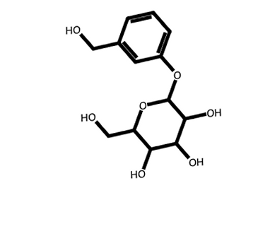 OCc1cccc(OC2OC(CO)C(O)C(O)C2O)c1